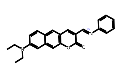 CCN(CC)c1ccc2cc3cc(/C=N/c4ccccc4)c(=O)oc3cc2c1